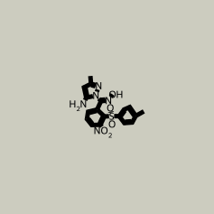 Cc1ccc(S(=O)(=O)c2c(C(=NO)n3nc(C)cc3N)cccc2[N+](=O)[O-])cc1